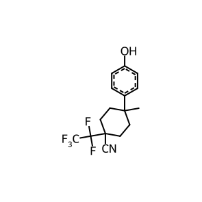 CC1(c2ccc(O)cc2)CCC(C#N)(C(F)(F)C(F)(F)F)CC1